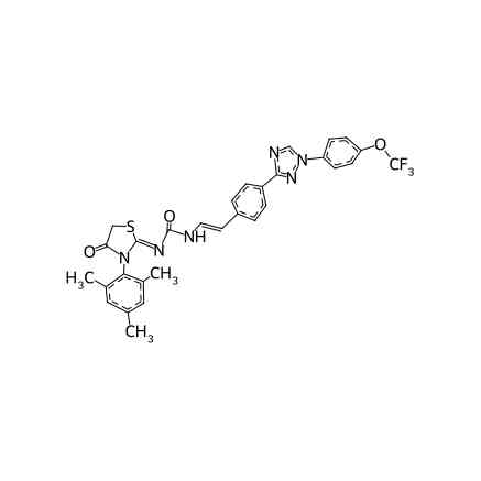 Cc1cc(C)c(N2C(=O)CS/C2=N\C(=O)N/C=C/c2ccc(-c3ncn(-c4ccc(OC(F)(F)F)cc4)n3)cc2)c(C)c1